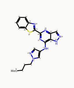 COCCCn1cc(Nc2nc(-c3nc4ccccc4s3)nc3cn[nH]c23)cn1